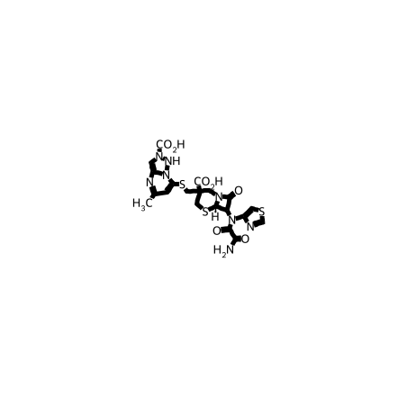 CC1=NC2=CN(C(=O)O)NN2C(SCC2(C(=O)O)CS[C@@H]3C(N(C(=O)C(N)=O)c4cscn4)C(=O)N3C2)=C1